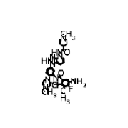 Cc1c(F)c(N)cc(C(=O)Nc2cc(N3NN=C4C3=CC=CN4NC(=O)C3CCN(C)CC3)ccc2N2CCN(C)CC2)c1Cl